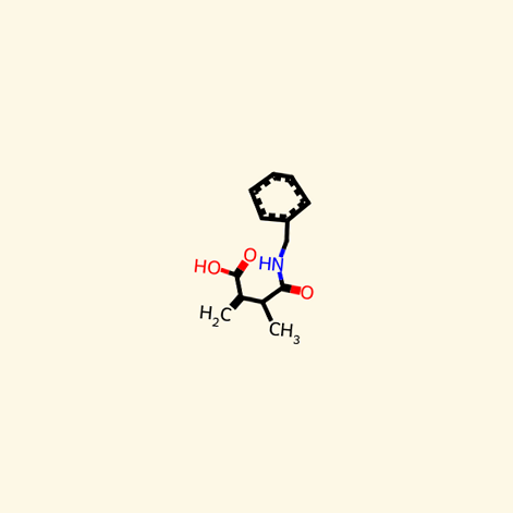 C=C(C(=O)O)C(C)C(=O)NCc1ccccc1